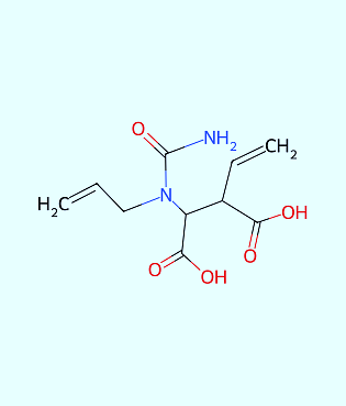 C=CCN(C(N)=O)C(C(=O)O)C(C=C)C(=O)O